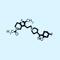 CC(=O)N1CCc2sc(C)c(CCN3CCC(c4noc5cc(F)ccc45)CC3)c2C1